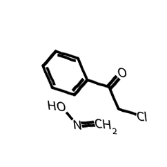 C=NO.O=C(CCl)c1ccccc1